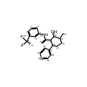 C=C(Nc1cccc(C(F)(F)F)c1)C1C(c2ccncc2)CCC(C)C1O